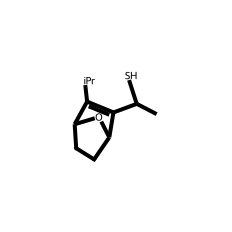 CC(C)C1=C(C(C)S)C2CCC1O2